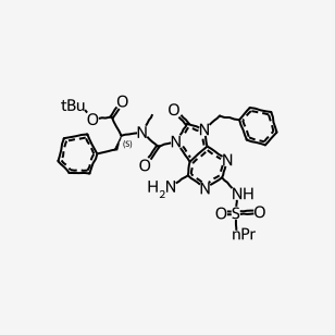 CCCS(=O)(=O)Nc1nc(N)c2c(n1)n(Cc1ccccc1)c(=O)n2C(=O)N(C)[C@@H](Cc1ccccc1)C(=O)OC(C)(C)C